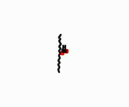 CCCCCCCCC(CCCCCCCC)[O][SnH]=[O]